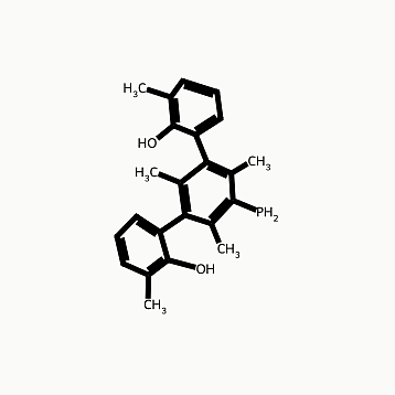 Cc1cccc(-c2c(C)c(P)c(C)c(-c3cccc(C)c3O)c2C)c1O